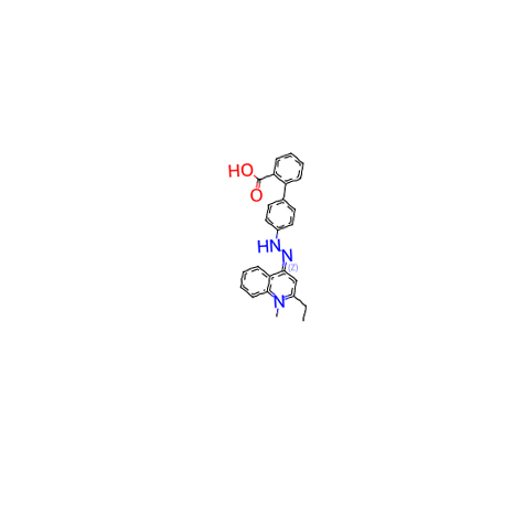 CCc1c/c(=N/Nc2ccc(-c3ccccc3C(=O)O)cc2)c2ccccc2n1C